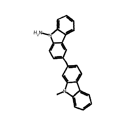 Cn1c2ccccc2c2ccc(-c3ccc4c(c3)c3ccccc3n4N)cc21